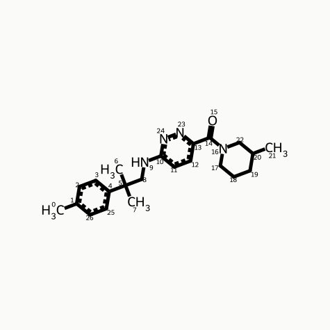 Cc1ccc(C(C)(C)CNc2ccc(C(=O)N3CCCC(C)C3)nn2)cc1